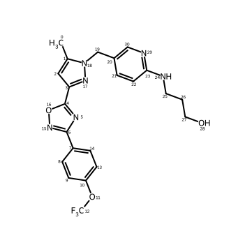 Cc1cc(-c2nc(-c3ccc(OC(F)(F)F)cc3)no2)nn1Cc1ccc(NCCCO)nc1